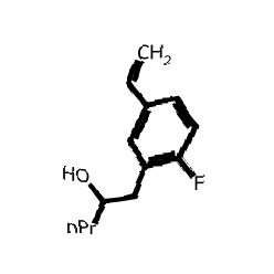 C=Cc1ccc(F)c(CC(O)CCC)c1